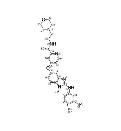 CCc1ccc(Nc2nc3cc(Oc4ccnc(C(=O)NCCN5CCOCC5)c4)ccc3n2C)cc1C(C)C